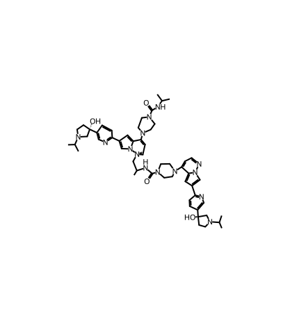 CC(C)NC(=O)N1CCN(c2cc[n+](CC(C)NC(=O)N3CCN(c4ccnn5cc(-c6ccc([C@@]7(O)CCN(C(C)C)C7)cn6)cc45)CC3)n3cc(-c4ccc([C@]5(O)CCN(C(C)C)C5)cn4)cc23)CC1